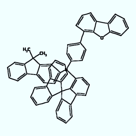 CC1(C)c2ccccc2-c2ccc(N(c3ccc(-c4cccc5c4oc4ccccc45)cc3)c3cccc4c3C3(c5ccccc5-c5ccccc53)c3ccccc3-4)cc21